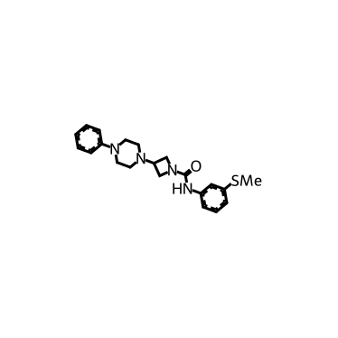 CSc1cccc(NC(=O)N2CC(N3CCN(c4ccccc4)CC3)C2)c1